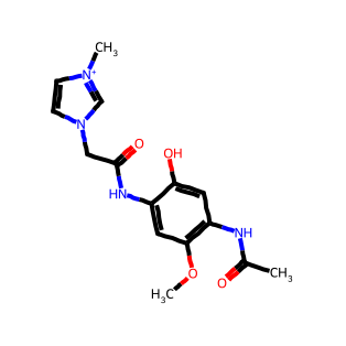 COc1cc(NC(=O)Cn2cc[n+](C)c2)c(O)cc1NC(C)=O